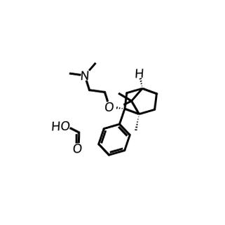 CN(C)CCO[C@]1(c2ccccc2)C[C@H]2CC[C@]1(C)C2(C)C.O=CO